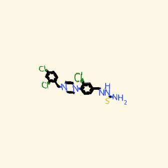 NC(=S)NN=Cc1ccc(N2CCN(Cc3ccc(Cl)cc3Cl)CC2)c(Cl)c1